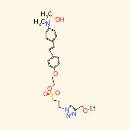 CCOCc1cn(CCCS(=O)(=O)OCCOc2ccc(/C=C/c3ccc(N(C)B(C)O)cc3)cc2)nn1